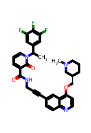 CC(c1cc(F)c(F)c(F)c1)n1cccc(C(=O)NCC#Cc2ccc3nccc(OC[C@@H]4CCCN(C)C4)c3c2)c1=O